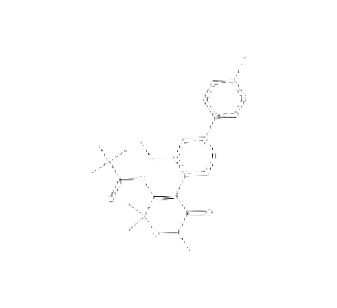 CCc1cc(-c2ccc(F)cc2)ccc1C1=C(OC(=O)C(C)(C)C)C(C)(C)OC(C)C1=O